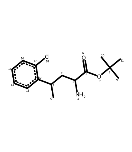 CC(CC(N)C(=O)OC(C)(C)C)c1ccccc1Cl